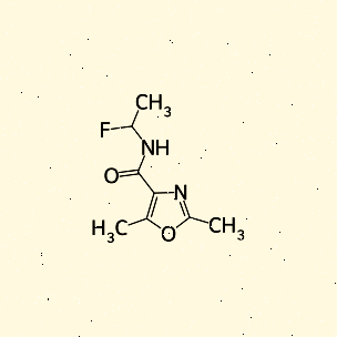 Cc1nc(C(=O)NC(C)F)c(C)o1